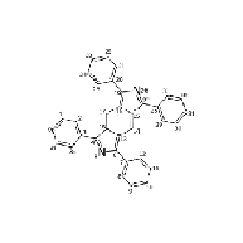 c1ccc(C2=NC(c3ccccc3)=c3cc4c(cc32)=C(c2ccccc2)N=C4c2ccccc2)cc1